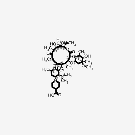 CC[C@H]1OC(=O)[C@H](C)[C@@H](O[C@H]2C[C@@](C)(OC)[C@@H](O)[C@H](C)O2)[C@H](C)[C@@H](O[C@@H]2O[C@H](C)C[C@@H](N3CCC(C(=O)O)CC3)[C@@H]2N(C)C)[C@@](C)(OC)C[C@@H](C)C(=O)[C@H](C)[C@@H](O)[C@]1(C)O